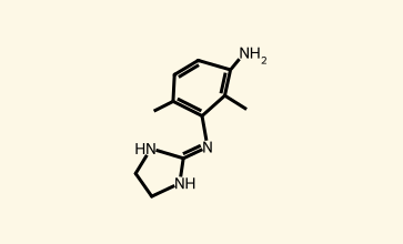 Cc1ccc(N)c(C)c1N=C1NCCN1